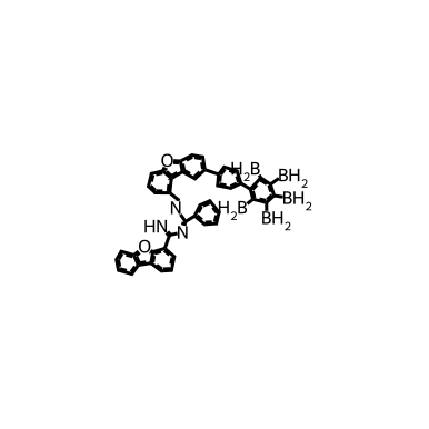 Bc1c(B)c(B)c(-c2ccc(-c3ccc4oc5cccc(/C=N/C(=N\C(=N)c6cccc7c6oc6ccccc67)c6ccccc6)c5c4c3)cc2)c(B)c1B